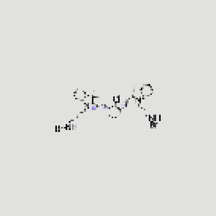 CC1(C)C(/C=C/C2=C(Cl)C(=C/C=C3/N(CCCCNBr)c4ccccc4C3(C)C)/CCC2)=[N+](CCCNBr)c2ccccc21